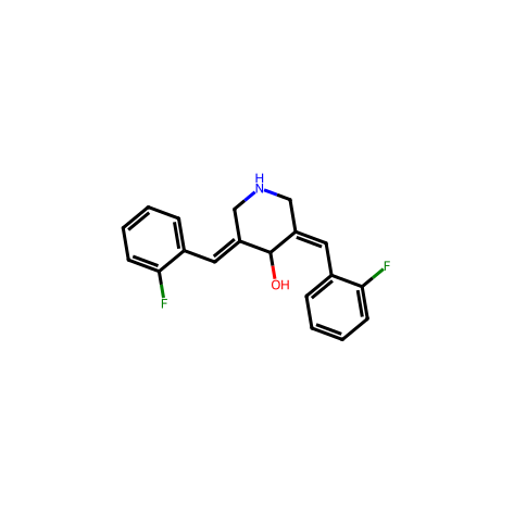 OC1C(=Cc2ccccc2F)CNCC1=Cc1ccccc1F